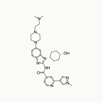 CN(C)CCN1CCN(c2ccc3nc(NC(=O)c4ccnc(-c5cnn(C)c5)c4)n([C@H]4CC[C@@H](O)CC4)c3c2)CC1